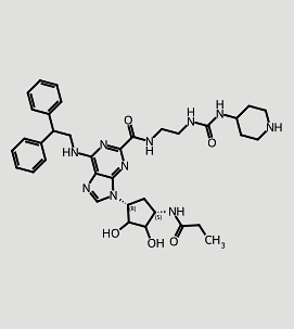 CCC(=O)N[C@H]1C[C@@H](n2cnc3c(NCC(c4ccccc4)c4ccccc4)nc(C(=O)NCCNC(=O)NC4CCNCC4)nc32)C(O)C1O